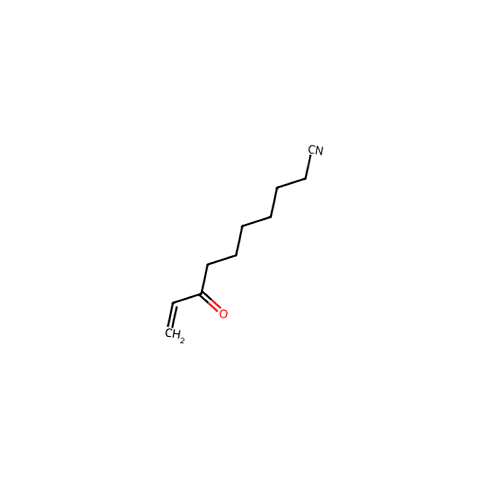 C=CC(=O)CCCCCCC#N